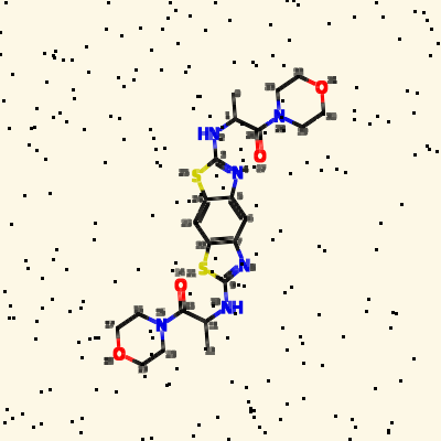 CC(Nc1nc2cc3nc(NC(C)C(=O)N4CCOCC4)sc3cc2s1)C(=O)N1CCOCC1